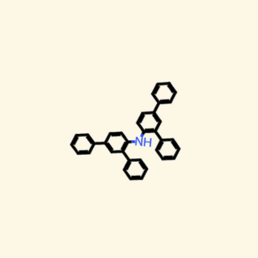 c1ccc(-c2ccc(Nc3ccc(-c4ccccc4)cc3-c3ccccc3)c(-c3ccccc3)c2)cc1